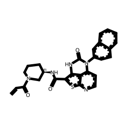 C=CC(=O)N1CCC[C@@H](NC(=O)c2sc3nccc4c3c2NC(=O)N4c2ccc3ccccc3c2)C1